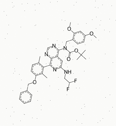 COc1ccc(CN(C(=O)OC(C)(C)C)c2ncnc3c(-c4c(C)ccc(OCc5ccccc5)c4C)nc(NCC(F)F)cc23)c(OC)c1